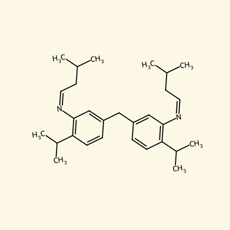 CC(C)C/C=N\c1cc(Cc2ccc(C(C)C)c(/N=C\CC(C)C)c2)ccc1C(C)C